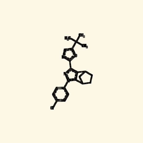 CC(C)(C)c1cnc(-c2nn(-c3ccc(Cl)cc3)c3c2C2CCC3C2)o1